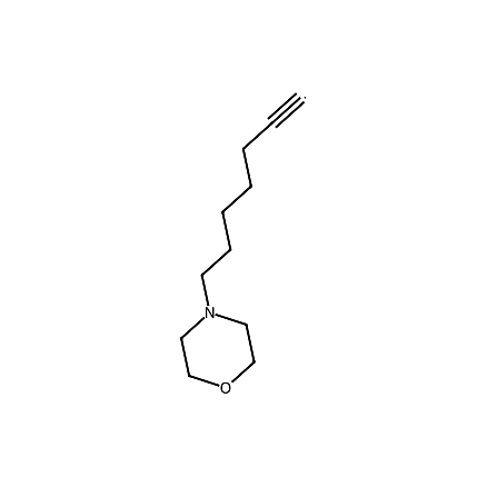 [C]#CCCCCCN1CCOCC1